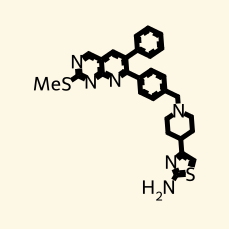 CSc1ncc2cc(-c3ccccc3)c(-c3ccc(CN4CCC(c5csc(N)n5)CC4)cc3)nc2n1